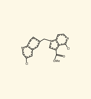 COC(=O)c1cn(Cc2ccc3ncc(Cl)cc3c2)c2ccnc(Cl)c12